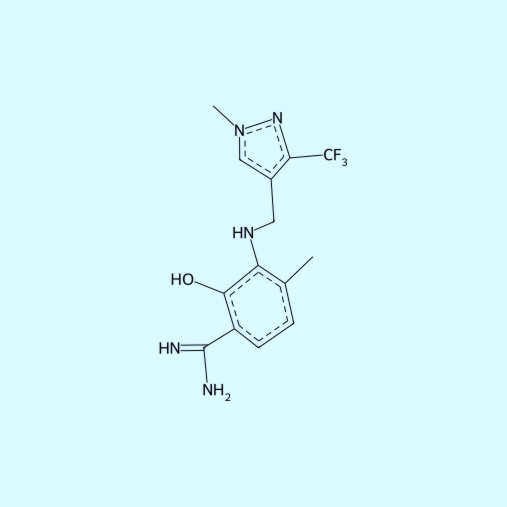 Cc1ccc(C(=N)N)c(O)c1NCc1cn(C)nc1C(F)(F)F